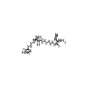 Cc1[nH]cnc1CSCCN=C(N)NCCCCCCCCN(C)C(N)=NC#N